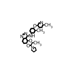 Cc1ccc(Oc2ccc(Nc3ncnc4cccc(OC(C)C(=O)N5CCCC5)c34)cc2C)cn1